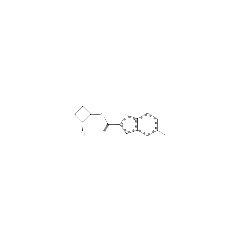 N[C@H]1CCC1NC(=O)c1cc2cc(Cl)ccc2[nH]1